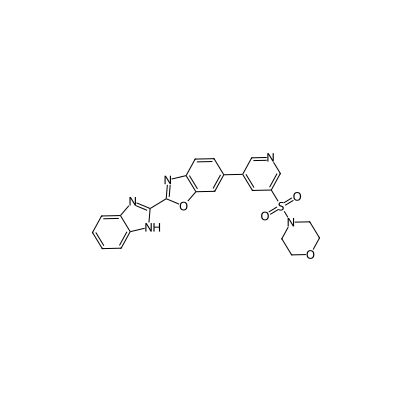 O=S(=O)(c1cncc(-c2ccc3nc(-c4nc5ccccc5[nH]4)oc3c2)c1)N1CCOCC1